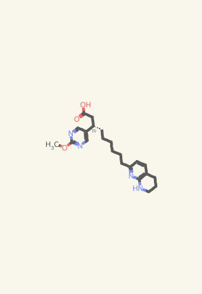 COc1ncc([C@@H](CCCCCCc2ccc3c(n2)NCCC3)CC(=O)O)cn1